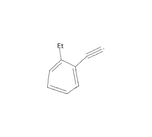 [C]#Cc1ccccc1CC